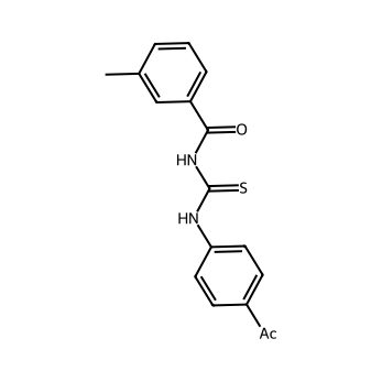 CC(=O)c1ccc(NC(=S)NC(=O)c2cccc(C)c2)cc1